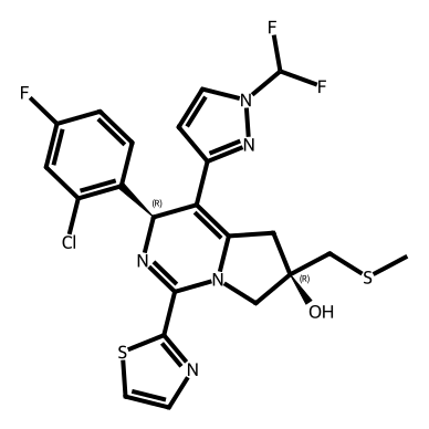 CSC[C@@]1(O)CC2=C(c3ccn(C(F)F)n3)[C@H](c3ccc(F)cc3Cl)N=C(c3nccs3)N2C1